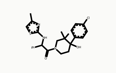 Cc1csc(NC(C(=O)N2CCC(O)(c3ccc(Cl)cc3)C(C)(C)C2)C(C)C)n1